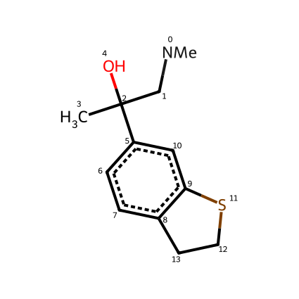 CNCC(C)(O)c1ccc2c(c1)SCC2